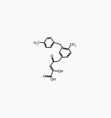 Cc1ccc(Cc2cc(CC(=O)/C=C(\O)C(=O)O)ccc2C)cc1